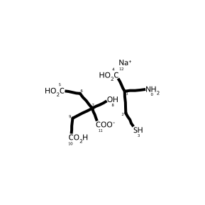 NC(CS)C(=O)O.O=C(O)CC(O)(CC(=O)O)C(=O)[O-].[Na+]